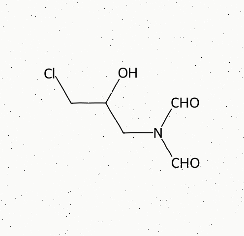 O=CN(C=O)CC(O)CCl